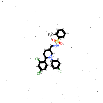 O=S(=O)(NCC1CCC(c2ccc(Cl)cc2Cl)N(c2ccc(Cl)cc2)C1)c1ccccc1C(F)(F)F